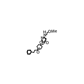 COCCNc1cc(=O)n(CC2(O)CCN(C(=O)CCc3ccccc3)CC2)cn1